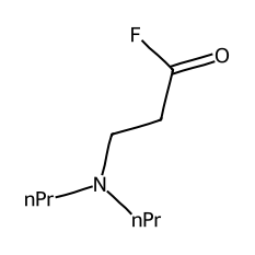 CCCN(CCC)CCC(=O)F